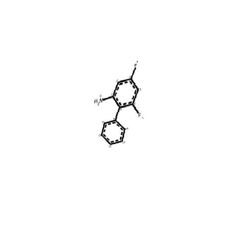 Nc1cc(F)cc(F)c1-c1ccccc1